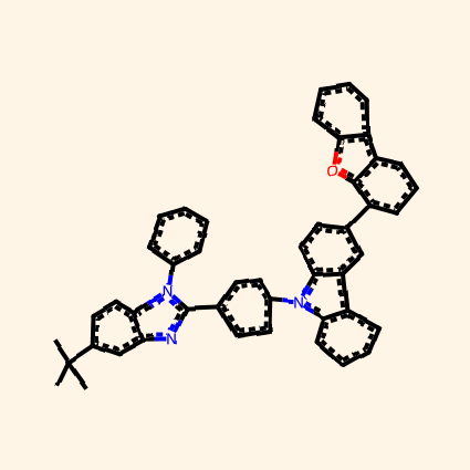 CC(C)(C)c1ccc2c(c1)nc(-c1ccc(-n3c4ccccc4c4cc(-c5cccc6c5oc5ccccc56)ccc43)cc1)n2-c1ccccc1